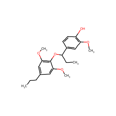 CCCc1cc(OC)c(OC(CC)c2ccc(O)c(OC)c2)c(OC)c1